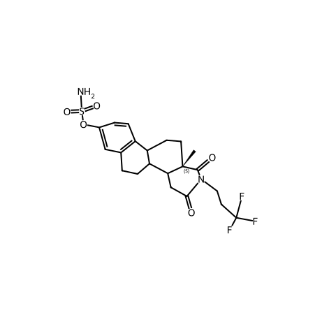 C[C@]12CCC3c4ccc(OS(N)(=O)=O)cc4CCC3C1CC(=O)N(CCC(F)(F)F)C2=O